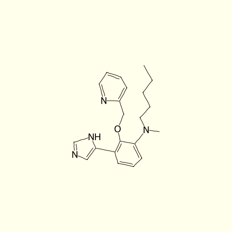 CCCCCN(C)c1cccc(-c2cnc[nH]2)c1OCc1ccccn1